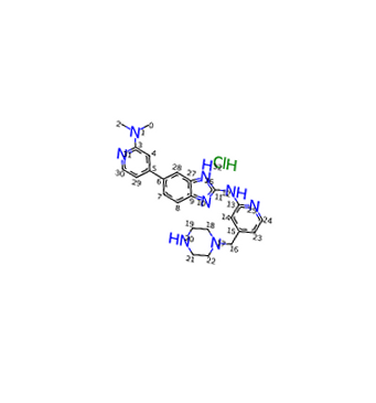 CN(C)c1cc(-c2ccc3nc(Nc4cc(CN5CCNCC5)ccn4)[nH]c3c2)ccn1.Cl